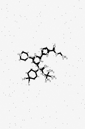 CCOC(=O)c1csc(-c2nc(N3CCOCC3)cc(N(C(=O)OC(C)(C)C)C3CCC(F)(F)CC3)n2)n1